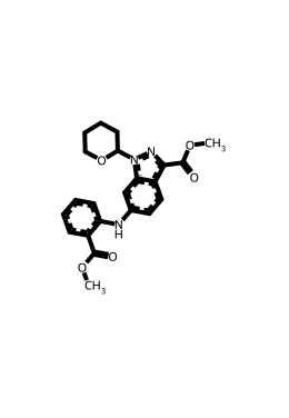 COC(=O)c1ccccc1Nc1ccc2c(C(=O)OC)nn(C3CCCCO3)c2c1